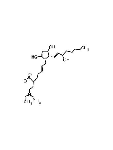 CCCCCC(O)C=C[C@H]1C(O)CC(O)[C@@H]1CC=CCCC(CCN(CC)CC)C(=O)[O-].[Na+]